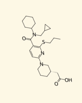 CCCSc1nc(N2CCC[C@@H](CC(=O)O)C2)ccc1C(=O)N(CC1CC1)C1CCCCC1